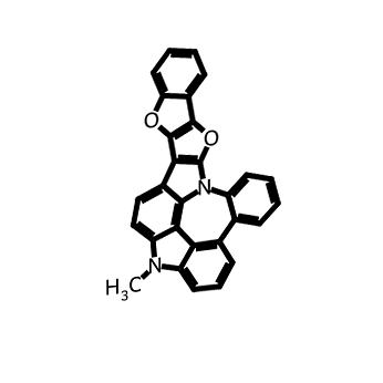 Cn1c2cccc3c4ccccc4n4c5oc6c7ccccc7oc6c5c5ccc1c(c32)c54